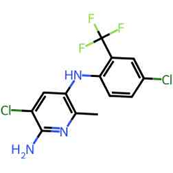 Cc1nc(N)c(Cl)cc1Nc1ccc(Cl)cc1C(F)(F)F